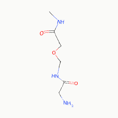 CNC(=O)COCNC(=O)CN